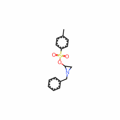 Cc1ccc(S(=O)(=O)OC2CN2Cc2ccccc2)cc1